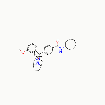 C=CCN1C2CCC1C1CCC2N1C(C1=CCC(C(=O)NC2CCCCCC2)C=C1)c1cccc(OC)c1